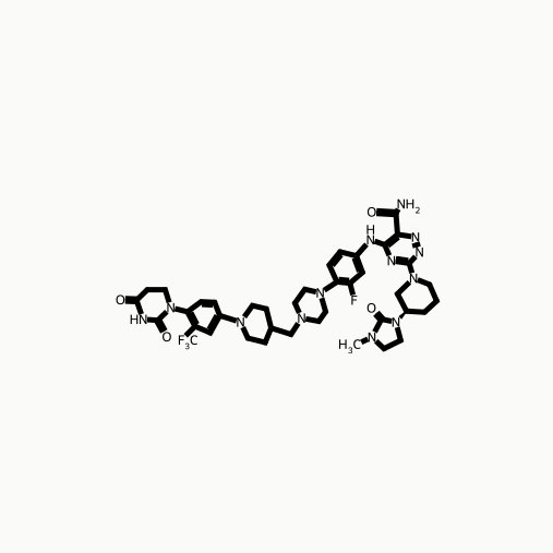 CN1CCN([C@@H]2CCCN(c3nnc(C(N)=O)c(Nc4ccc(N5CCN(CC6CCN(c7ccc(N8CCC(=O)NC8=O)c(C(F)(F)F)c7)CC6)CC5)c(F)c4)n3)C2)C1=O